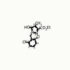 CCOC(=O)c1nn(Cc2c(Cl)cccc2Cl)c(O)c1C